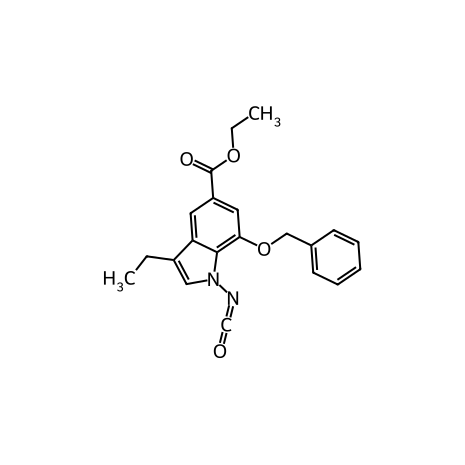 CCOC(=O)c1cc(OCc2ccccc2)c2c(c1)c(CC)cn2N=C=O